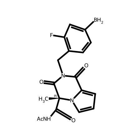 Bc1ccc(CN2C(=O)c3cccn3[C@](C)(C(=O)NC(C)=O)C2=O)c(F)c1